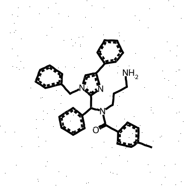 Cc1ccc(C(=O)N(CCCN)C(c2ccccc2)c2nc(-c3ccccc3)cn2Cc2ccccc2)cc1